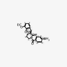 CCOc1cccc(C=C2CCCn3c2nc2cc(N)ccc2c3=O)c1OC